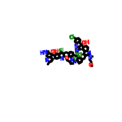 COCCN(C)c1nc2ccc(C(O)(c3ccc(Cl)cc3)c3cncn3C)cc2c(Cl)c1Cc1ccc(-n2ccc(COc3nc4ccc(C(O)(c5ccc(C)nc5C)C5CNC5)cc4c(Cl)c3Cc3ccc(C(F)(F)F)cc3)n2)cc1